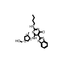 CCCCNc1nc(Cl)c(-c2nc3ccccc3s2)c(N[C@@H]2C[C@H](CO)C[C@H]2C)n1